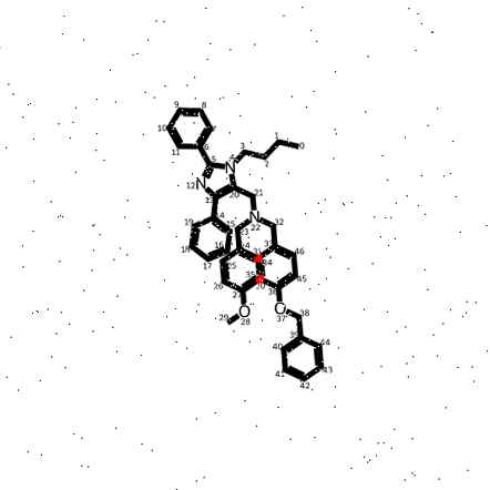 CCCCn1c(-c2ccccc2)nc(-c2ccccc2)c1CN(Cc1ccc(OC)cc1)Cc1ccc(OCc2ccccc2)cc1